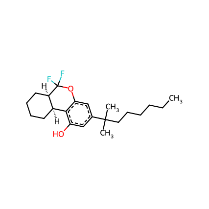 CCCCCCC(C)(C)c1cc(O)c2c(c1)OC(F)(F)[C@@H]1CCCC[C@H]21